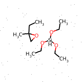 CCC1(C)CO1.CCO[SiH](OCC)OCC